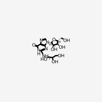 Nc1nc2c(ncn2[C@@H]2O[C@H](CO)[C@@H](O)[C@H]2O)c(=O)[nH]1.OCC(O)CO